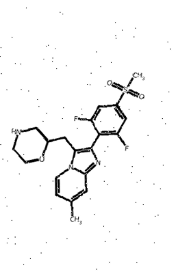 Cc1ccn2c(CC3CNCCO3)c(-c3c(F)cc(S(C)(=O)=O)cc3F)nc2c1